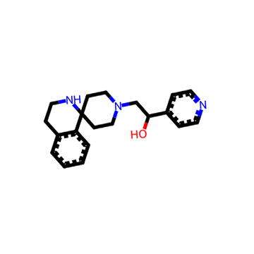 OC(CN1CCC2(CC1)NCCc1ccccc12)c1ccncc1